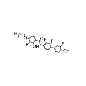 CCOc1ccc(C(=O)Cc2ccc(-c3ccc(C)c(F)c3)c(F)c2F)c(O)c1F